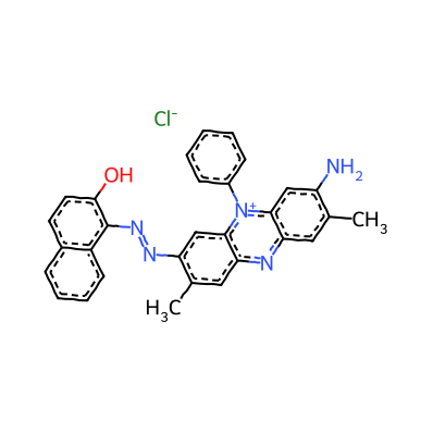 Cc1cc2nc3cc(C)c(/N=N/c4c(O)ccc5ccccc45)cc3[n+](-c3ccccc3)c2cc1N.[Cl-]